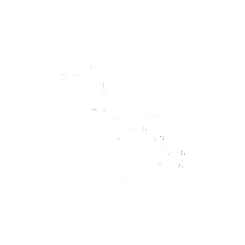 C=C(CC)c1ccc(-c2cccc(N(C)c3nc4nncn4c4cc(Cl)ccc34)c2)cc1